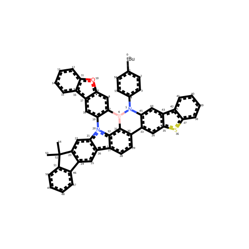 CC(C)(C)c1ccc(N2B3c4cc5oc6ccccc6c5cc4-n4c5cc6c(cc5c5ccc(c3c54)-c3cc4sc5ccccc5c4cc32)-c2ccccc2C6(C)C)cc1